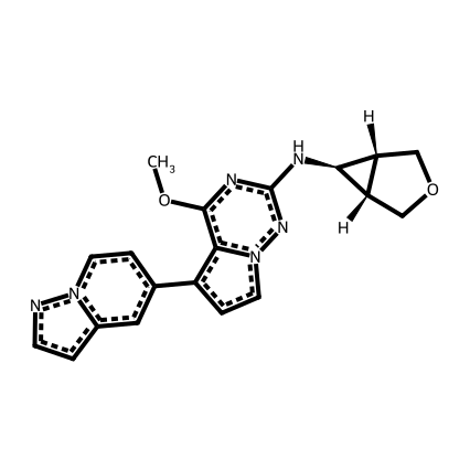 COc1nc(N[C@H]2[C@@H]3COC[C@@H]32)nn2ccc(-c3ccn4nccc4c3)c12